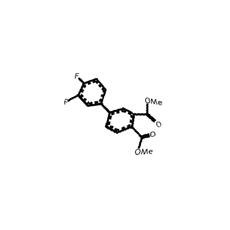 COC(=O)c1ccc(-c2ccc(F)c(F)c2)cc1C(=O)OC